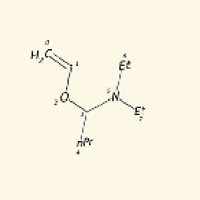 C=COC(CCC)N(CC)CC